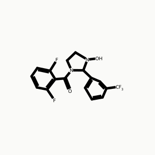 O=C(c1c(F)cccc1F)N1CCN(O)C1c1cccc(C(F)(F)F)c1